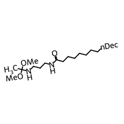 CCCCCCCCCCCCCCCCCC(=O)NCCCNC(C)(OC)OC